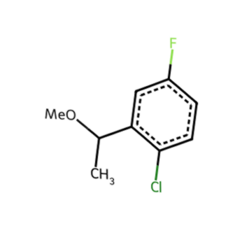 COC(C)c1cc(F)ccc1Cl